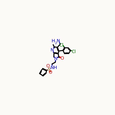 Cc1nc2c(c(-c3ccc(Cl)cc3Cl)c1CN)C(=O)N(CCNS(=O)(=O)c1ccccc1)C2